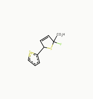 O=C(O)C1(F)C=CC(c2cccs2)S1